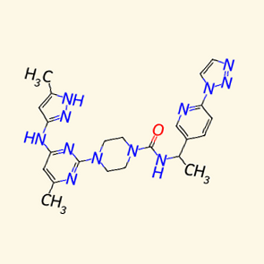 Cc1cc(Nc2cc(C)[nH]n2)nc(N2CCN(C(=O)NC(C)c3ccc(-n4ccnn4)nc3)CC2)n1